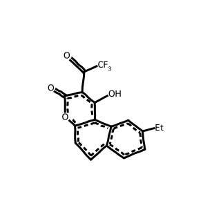 CCc1ccc2ccc3oc(=O)c(C(=O)C(F)(F)F)c(O)c3c2c1